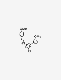 CCc1nc(NCCc2ccc(OC)cc2)cc(-c2cccc(OC)c2)n1